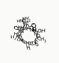 C[C@H]1CCC(=O)CCCNCCCC[C@@H](C(N)O)NC(O)C(Cc2c[nH]c3ccccc23)NC(=O)C(CCCNC(=N)N)NC(=O)[C@@H](Cc2ccccc2)NC(=O)[C@@H]2C[C@@H](O)CN2C1=O